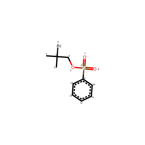 CC(=O)C(C)(C)COS(=O)(=O)c1ccccc1